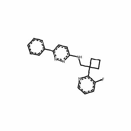 Fc1cccnc1C1(CNc2ccc(-c3c[c]ccc3)nn2)CCC1